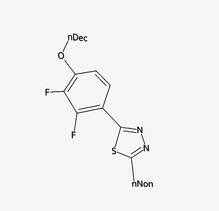 CCCCCCCCCCOc1ccc(-c2nnc(CCCCCCCCC)s2)c(F)c1F